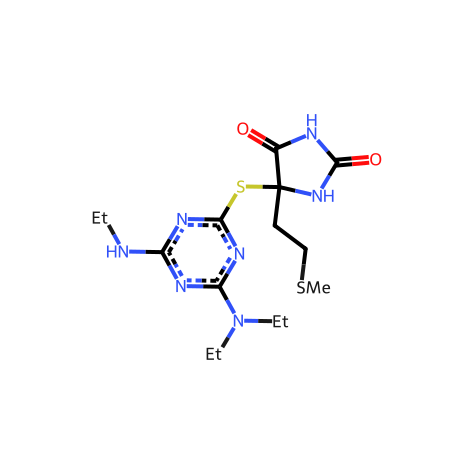 CCNc1nc(SC2(CCSC)NC(=O)NC2=O)nc(N(CC)CC)n1